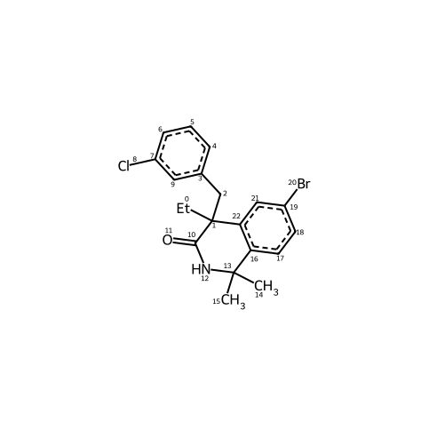 CCC1(Cc2cccc(Cl)c2)C(=O)NC(C)(C)c2ccc(Br)cc21